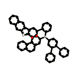 c1ccc(-c2ccc(N(c3ccc4c(ccc5ccccc54)c3)c3ccccc3-c3ccc4oc5cc6ccccc6cc5c4c3)cc2-c2ccccc2)cc1